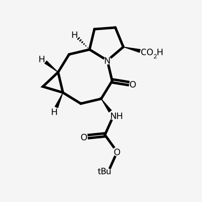 CC(C)(C)OC(=O)N[C@H]1C[C@@H]2C[C@@H]2C[C@H]2CC[C@@H](C(=O)O)N2C1=O